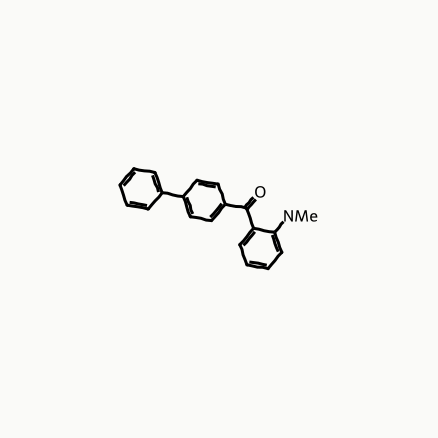 CNc1ccccc1C(=O)c1ccc(-c2ccccc2)cc1